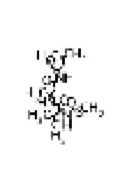 COC(=O)N[C@H](C(=O)N[C@@H](C)CC(=O)N[C@H](C=O)CC(C)C)C(C)C